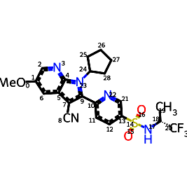 COc1cnc2c(c1)c(C#N)c(-c1ccc(S(=O)(=O)N[C@H](C)C(F)(F)F)cn1)n2C1CCCC1